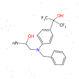 CCCC(O)CN(Cc1ccccc1)c1ccc(C(O)(C(F)(F)F)C(F)(F)F)cc1